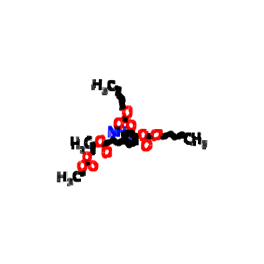 CCCCCOC(=O)Oc1ccc(C[C@H](N)C(=O)O[C@@H](C)COC(=O)OCC)cc1OC(=O)OCCCCC